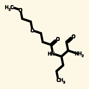 CCCC(NC(=O)CCOCCOC)C(N)C=O